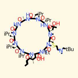 C/C=C/C[C@@H](C)[C@@H](O)[C@H]1C(=O)N[C@@H](CC)C(=O)N(C)[C@H](CSCCN(C)CC(C)(C)C)C(=O)N(C)[C@@H](CC(C)(C)O)C(=O)N[C@@H](C(C)C)C(=O)N(C)[C@@H](CC(C)C)C(=O)N[C@@H](C)C(=O)N[C@H](C)C(=O)N(C)[C@@H](CC(C)C)C(=O)N(C)[C@@H](CC(C)C)C(=O)N(C)[C@@H](C(C)C)C(=O)N1C